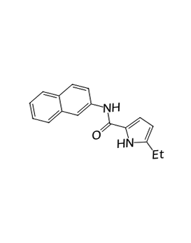 CCc1ccc(C(=O)Nc2ccc3ccccc3c2)[nH]1